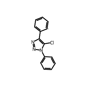 Clc1c(-c2[c]cccc2)nnn1-c1ccccc1